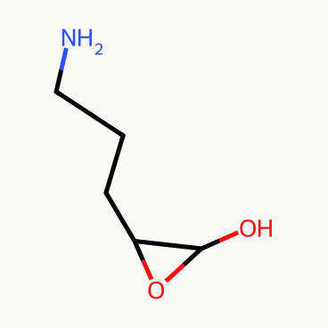 NCCCC1OC1O